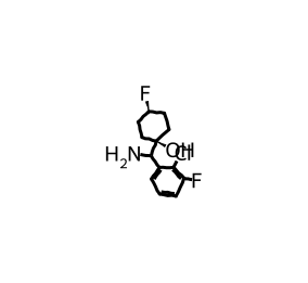 NC(c1cccc(F)c1Cl)[C@]1(O)CC[C@@H](F)CC1